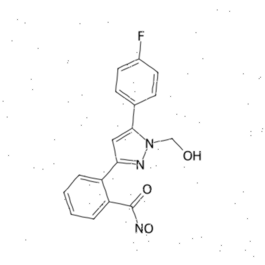 O=NC(=O)c1ccccc1-c1cc(-c2ccc(F)cc2)n(CO)n1